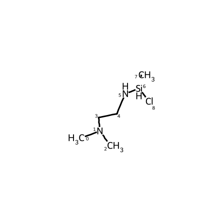 CN(C)CCN[SiH](C)Cl